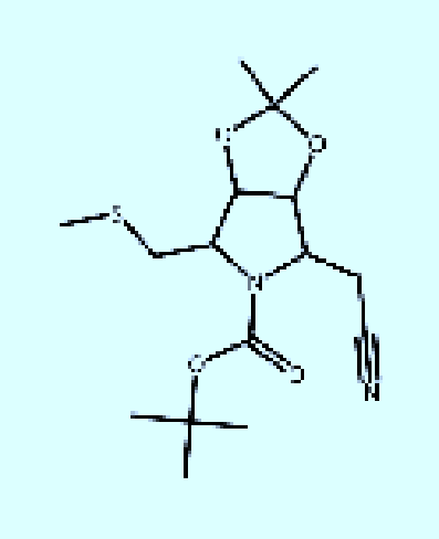 CSCC1C2OC(C)(C)OC2C(CC#N)N1C(=O)OC(C)(C)C